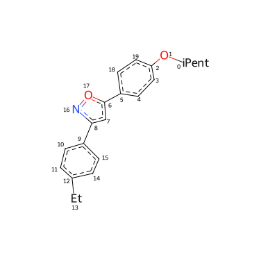 CCCC(C)Oc1ccc(-c2cc(-c3ccc(CC)cc3)no2)cc1